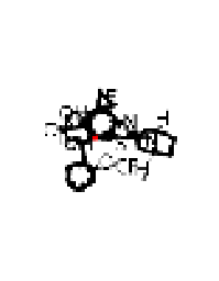 O=P(O)(O)c1cc(F)c2nc(N3[C@@H]4CC[C@H]3CC(OCc3c(-c5ccccc5OC(F)(F)F)noc3C3CC3)C4)sc2c1